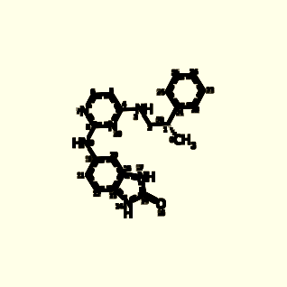 C[C@H](CNc1ccnc(Nc2ccc3[nH]c(=O)[nH]c3c2)n1)c1ccccc1